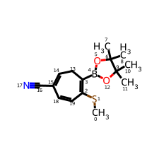 CSC1=C(B2OC(C)(C)C(C)(C)O2)CC=C(C#N)C=C1